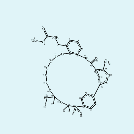 CC(C)(C)OC(=O)NCc1cccc2c1OCCCCCCC(C)(PI)CC(C)(C)S(=O)(=O)c1ccc(cc1)-c1cnc(N)c(n1)C(=O)N2